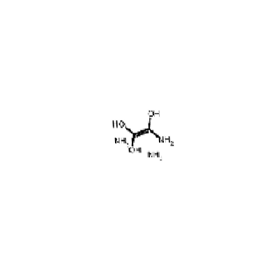 N.N.NC(O)=C(O)O